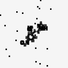 O=[N+]([O-])c1ccc(CCC2=NCCN2)cc1.[Cl-].[H+]